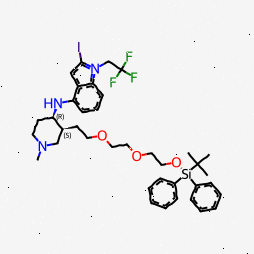 CN1CC[C@@H](Nc2cccc3c2cc(I)n3CC(F)(F)F)[C@@H](CCOCCOCCO[Si](c2ccccc2)(c2ccccc2)C(C)(C)C)C1